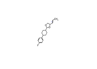 C/C=C/C1COC(C2CCC(c3ccc(F)cc3)CC2)O1